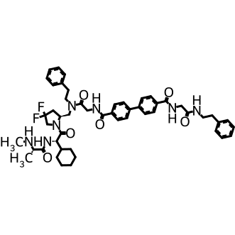 CN[C@@H](C)C(=O)N[C@H](C(=O)N1CC(F)(F)C[C@H]1CN(CCc1ccccc1)C(=O)CNC(=O)c1ccc(-c2ccc(C(=O)NCC(=O)NCCc3ccccc3)cc2)cc1)C1CCCCC1